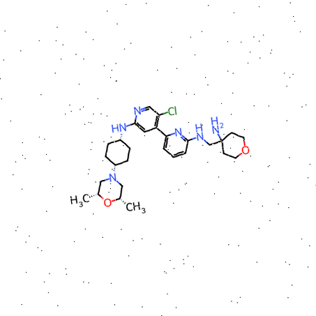 C[C@@H]1CN([C@H]2CC[C@@H](Nc3cc(-c4cccc(NCC5(N)CCOCC5)n4)c(Cl)cn3)CC2)C[C@H](C)O1